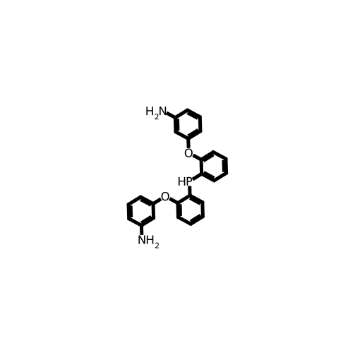 Nc1cccc(Oc2ccccc2Pc2ccccc2Oc2cccc(N)c2)c1